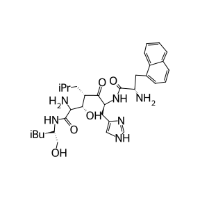 CC[C@H](C)[C@@H](CO)NC(=O)C(N)[C@@H](O)[C@H](CC(C)C)C(=O)[C@H](Cc1c[nH]cn1)NC(=O)[C@@H](N)Cc1cccc2ccccc12